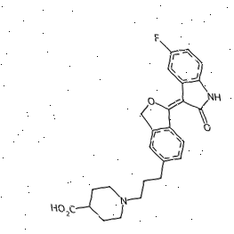 O=C1Nc2ccc(F)cc2/C1=C1\OCc2cc(CCCN3CCC(C(=O)O)CC3)ccc21